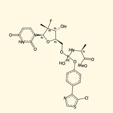 COC(=O)[C@H](C)N[PH](O)(OC[C@H]1O[C@@H](n2ccc(=O)[nH]c2=O)[C@](C)(F)[C@@H]1O)Oc1ccc(-c2ncsc2Cl)cc1